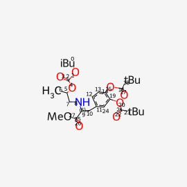 CCC(C)OC(=O)OC(C)CN[C@@H](Cc1ccc(OC(=O)C(C)(C)C)c(OC(=O)C(C)(C)C)c1)C(=O)OC